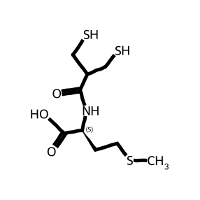 CSCC[C@H](NC(=O)C(CS)CS)C(=O)O